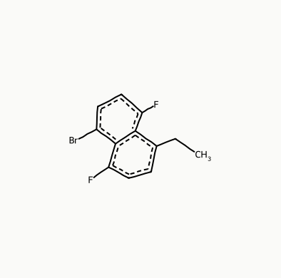 CCc1ccc(F)c2c(Br)ccc(F)c12